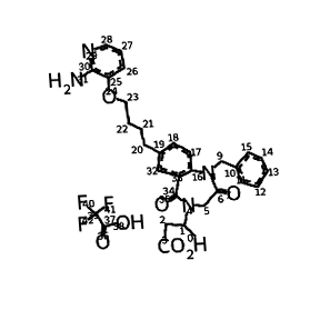 CC(CC(=O)O)N1CC(=O)N(Cc2ccccc2)c2ccc(CCCCOc3cccnc3N)cc2C1=O.O=C(O)C(F)(F)F